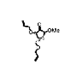 C=CCOC[C@H]1SC(OC)C(=O)[C@@H]1OCC=C